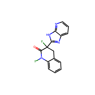 O=C1N(F)c2ccccc2CC1(F)c1nc2cccnc2[nH]1